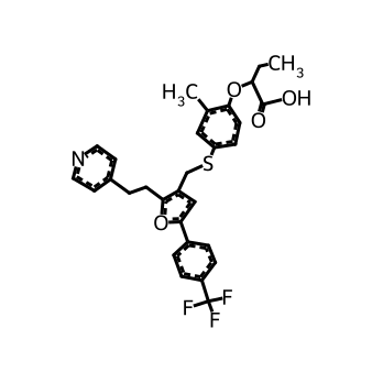 CCC(Oc1ccc(SCc2cc(-c3ccc(C(F)(F)F)cc3)oc2CCc2ccncc2)cc1C)C(=O)O